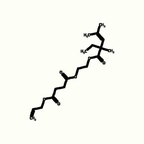 C=CCOC(=O)CCC(=O)OCCOC(=O)C(C)(C=C(C)C)CC